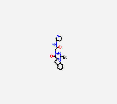 CCc1nn(CC(=O)Nc2cccnc2)c(=O)c2cc3ccccc3n12